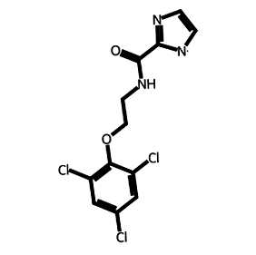 O=C(NCCOc1c(Cl)cc(Cl)cc1Cl)C1=NC=C[N]1